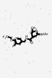 CC(=O)Nc1cc(C(=O)NCc2cnc(OCC(F)(F)F)c(F)c2)cc(C)n1